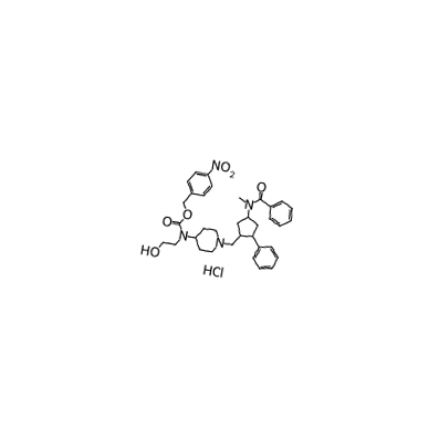 CN(C(=O)c1ccccc1)C1CC(CN2CCC(N(CCO)C(=O)OCc3ccc([N+](=O)[O-])cc3)CC2)C(c2ccccc2)C1.Cl